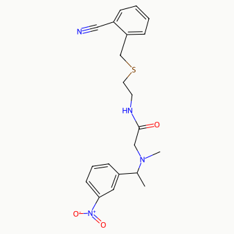 CC(c1cccc([N+](=O)[O-])c1)N(C)CC(=O)NCCSCc1ccccc1C#N